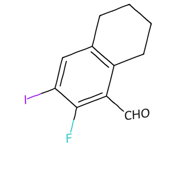 O=Cc1c(F)c(I)cc2c1CCCC2